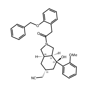 COc1ccccc1[C@]1(O)C[C@H](CC#N)C[C@H]2CN(C(=O)Cc3ccccc3OCc3ccccc3)C[C@H]21